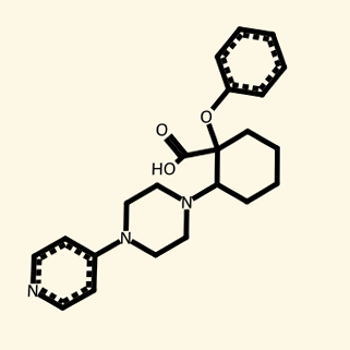 O=C(O)C1(Oc2ccccc2)CCCCC1N1CCN(c2ccncc2)CC1